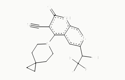 N#Cc1c(N2CCC3(CC2)CC3)c2cc(C(O)C(F)(F)F)ncc2[nH]c1=O